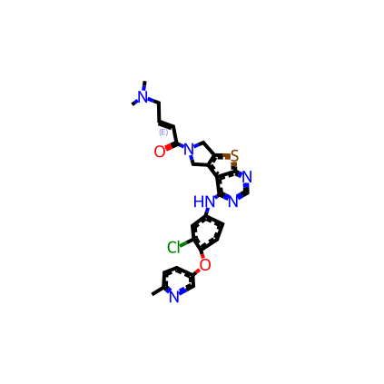 Cc1ccc(Oc2ccc(Nc3ncnc4sc5c(c34)CN(C(=O)/C=C/CN(C)C)C5)cc2Cl)cn1